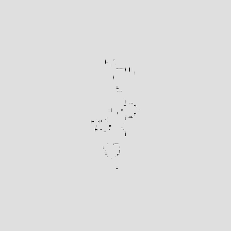 CN(C)CC#Cc1cccc(C(=O)c2c(-c3ccc(F)cc3)n[nH]c2N)c1